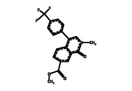 COC(=O)c1ccc2c(-c3ccc(C(F)(F)F)cc3)cn(C)c(=O)c2c1